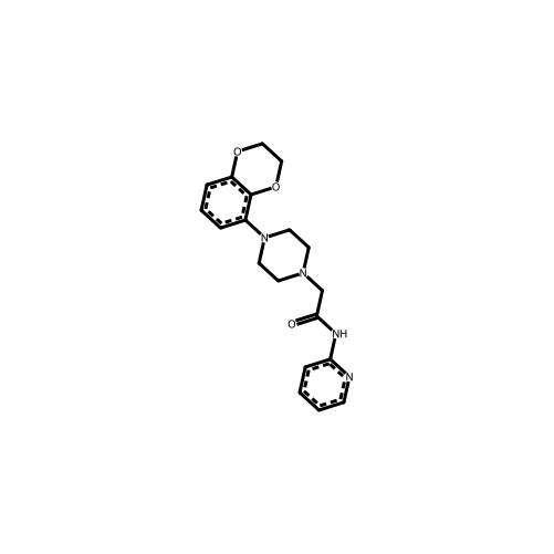 O=C(CN1CCN(c2cccc3c2OCCO3)CC1)Nc1ccccn1